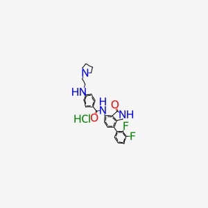 Cl.O=C(Nc1ccc(-c2cccc(F)c2F)c2c1C(=O)NC2)c1ccc(NCCN2CCCC2)cc1